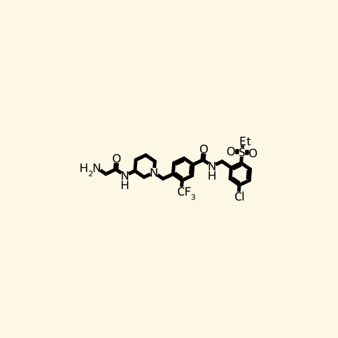 CCS(=O)(=O)c1ccc(Cl)cc1CNC(=O)c1ccc(CN2CCCC(NC(=O)CN)C2)c(C(F)(F)F)c1